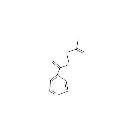 NC(=S)NNC(=O)c1ccncc1